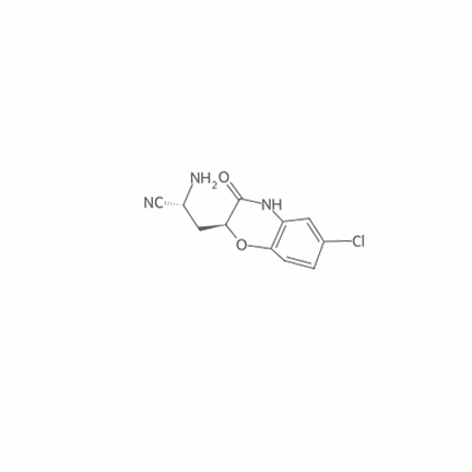 N#C[C@H](N)C[C@@H]1Oc2ccc(Cl)cc2NC1=O